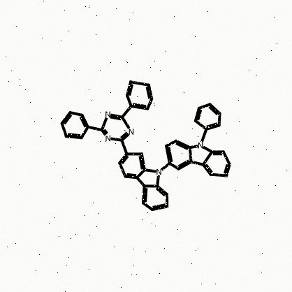 c1ccc(-c2nc(-c3ccccc3)nc(-c3ccc4c5ccccc5n(-c5ccc6c(c5)c5ccccc5n6-c5ccccc5)c4c3)n2)cc1